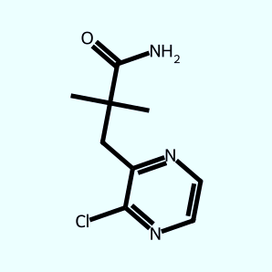 CC(C)(Cc1nccnc1Cl)C(N)=O